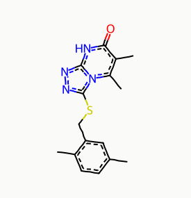 Cc1ccc(C)c(CSc2nnc3[nH]c(=O)c(C)c(C)n23)c1